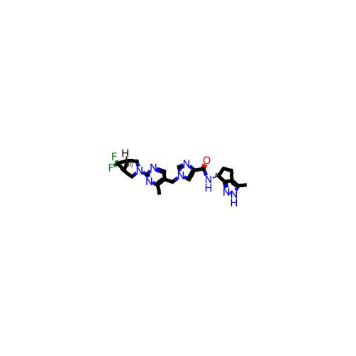 Cc1nc(N2CC3[C@H](C2)C3(F)F)ncc1Cn1cnc(C(=O)N[C@@H]2CCc3c2n[nH]c3C)c1